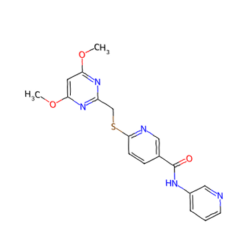 COc1cc(OC)nc(CSc2ccc(C(=O)Nc3cccnc3)cn2)n1